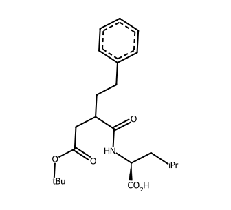 CC(C)C[C@H](NC(=O)C(CCc1ccccc1)CC(=O)OC(C)(C)C)C(=O)O